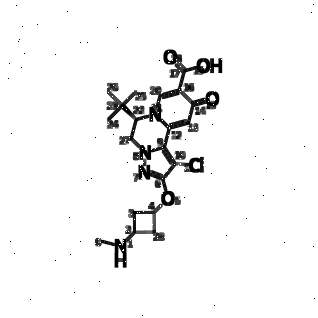 CNC1CC(Oc2nn3c(c2Cl)-c2cc(=O)c(C(=O)O)cn2[C@H](C(C)(C)C)C3)C1